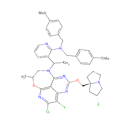 COc1ccc(CN(Cc2ccc(OC)cc2)c2ncccc2C(C)N2CC(C)Oc3nc(Cl)c(F)c4nc(OC[C@@]56CCCN5C[C@H](F)C6)nc2c34)cc1